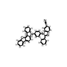 N#Cc1ccc2nc(-c3ccccc3)n(-c3ccc(-n4c5ccccc5c5c6oc7ccccc7c6ccc54)cc3)c2c1